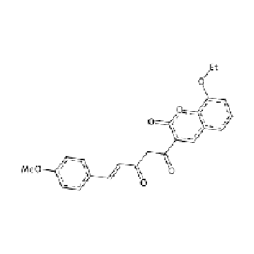 CCOc1cccc2cc(C(=O)CC(=O)C=Cc3ccc(OC)cc3)c(=O)oc12